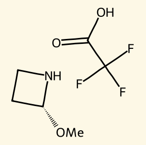 CO[C@@H]1CCN1.O=C(O)C(F)(F)F